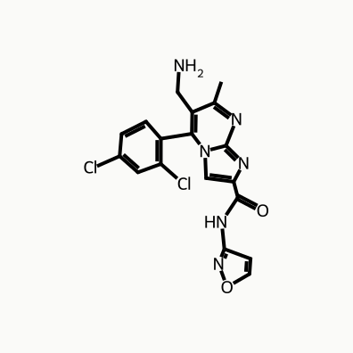 Cc1nc2nc(C(=O)Nc3ccon3)cn2c(-c2ccc(Cl)cc2Cl)c1CN